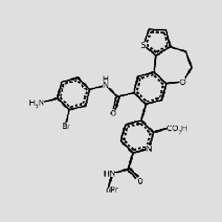 CCCNC(=O)c1ccc(-c2cc3c(cc2C(=O)Nc2ccc(N)c(Br)c2)-c2sccc2CCO3)c(C(=O)O)n1